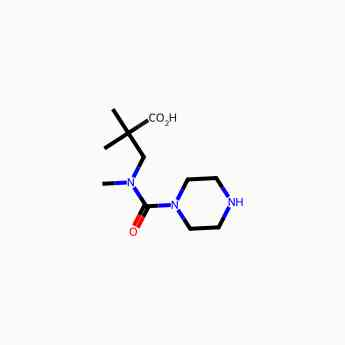 CN(CC(C)(C)C(=O)O)C(=O)N1CCNCC1